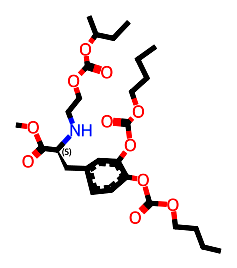 CCCCOC(=O)Oc1ccc(C[C@H](NCCOC(=O)OC(C)CC)C(=O)OC)cc1OC(=O)OCCCC